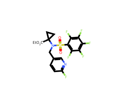 CCOC(=O)C1(N(Cc2ccc(F)nc2)S(=O)(=O)c2c(F)c(F)c(F)c(F)c2F)CC1